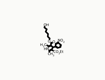 CCOC(=O)C1=C(C)NC(C)=C(C(=O)OCCCCCCO)C1c1cccc([N+](=O)[O-])c1